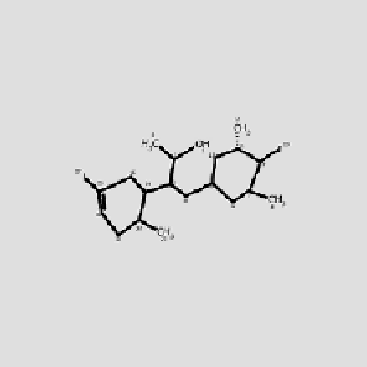 CC(O)C(CC1CC(C)C(I)[C@@H](C)C1)C1CC(I)=CCC1C